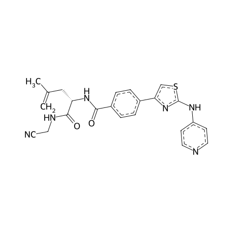 C=C(C)C[C@H](NC(=O)c1ccc(-c2csc(Nc3ccncc3)n2)cc1)C(=O)NCC#N